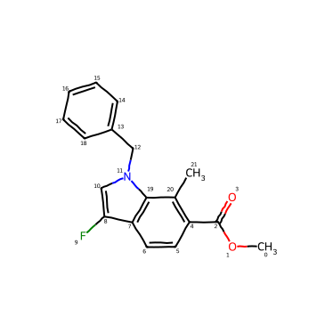 COC(=O)c1ccc2c(F)cn(Cc3ccccc3)c2c1C